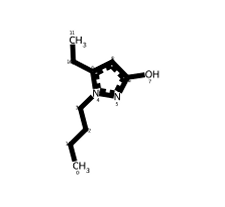 CCCCn1nc(O)cc1CC